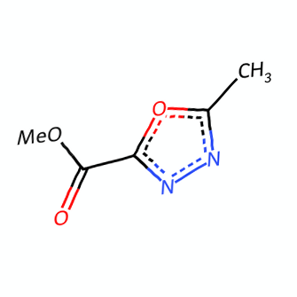 COC(=O)c1nnc(C)o1